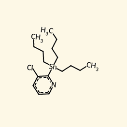 CCC[CH2][Sn]([CH2]CCC)([CH2]CCC)[c]1ncccc1Cl